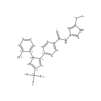 CSc1nc(NC(=O)c2ccc(-c3cc(C(F)(F)F)nn3-c3ccccc3Cl)cc2)n[nH]1